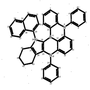 c1ccc(N2c3ccccc3B3c4c2cccc4N(c2ccccc2)c2c4c(n(-c5cccc6ccccc56)c23)CCCC4)cc1